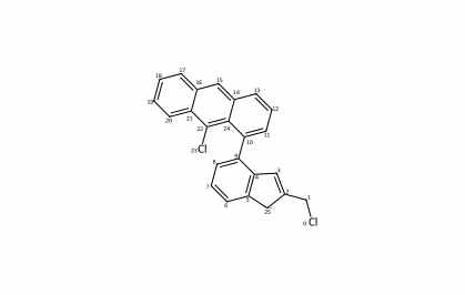 ClCC1=Cc2c(cccc2-c2cccc3cc4ccccc4c(Cl)c23)[CH]1